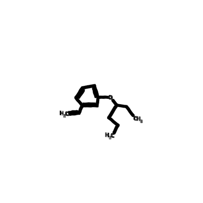 C=Cc1cccc(OC(CC)CCC)c1